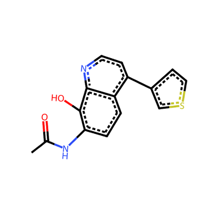 CC(=O)Nc1ccc2c(-c3ccsc3)ccnc2c1O